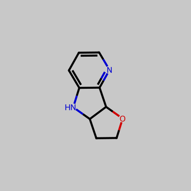 c1cnc2c(c1)NC1CCOC21